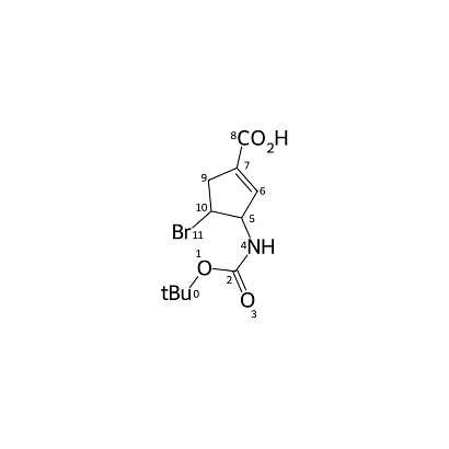 CC(C)(C)OC(=O)NC1C=C(C(=O)O)CC1Br